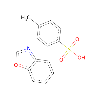 Cc1ccc(S(=O)(=O)O)cc1.c1ccc2ocnc2c1